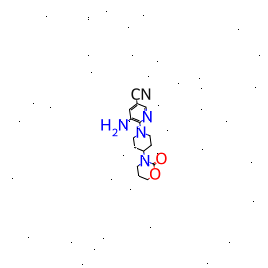 N#Cc1cnc(N2CCC(N3CCCOC3=O)CC2)c(N)c1